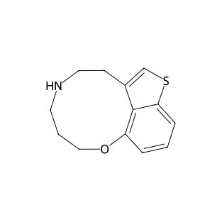 c1cc2c3c(csc3c1)CCNCCCO2